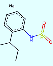 CCC(C)c1ccccc1N[SH](=O)=O.[Na]